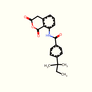 CCC(C)(C)c1ccc(C(=O)Nc2cccc3c2C(=O)OC(=O)C3)cc1